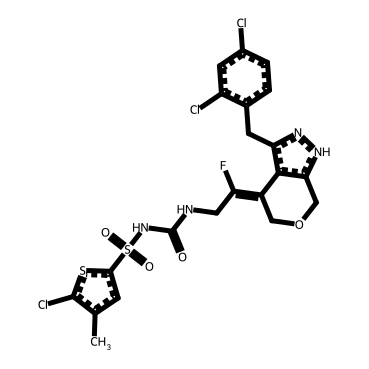 Cc1cc(S(=O)(=O)NC(=O)NCC(F)=C2COCc3[nH]nc(Cc4ccc(Cl)cc4Cl)c32)sc1Cl